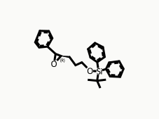 CC(C)(C)[Si](OCCC[C@H]1OC1c1ccccc1)(c1ccccc1)c1ccccc1